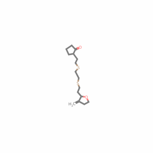 C=C1CCOC1CCSCCSCCC1CCCC1=O